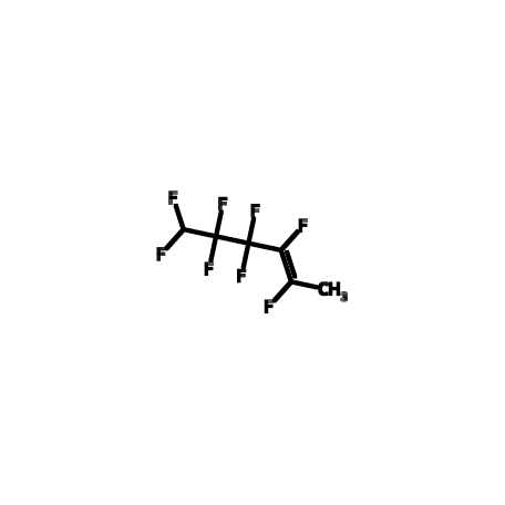 CC(F)=C(F)C(F)(F)C(F)(F)C(F)F